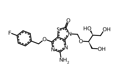 Nc1nc(OCc2ccc(F)cc2)c2sc(=O)n(CO[C@H](CO)[C@@H](O)CO)c2n1